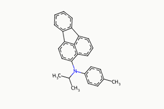 Cc1ccc(N(c2ccc3c4c(cccc24)-c2ccccc2-3)C(C)C)cc1